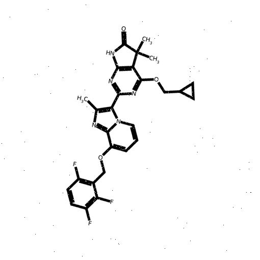 Cc1nc2c(OCc3c(F)ccc(F)c3F)cccn2c1-c1nc2c(c(OCC3CC3)n1)C(C)(C)C(=O)N2